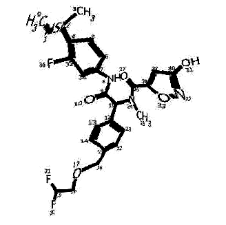 CC[SiH](C)c1ccc(NC(=O)C(c2ccc(COCC(F)F)cc2)N(C)C(=O)c2cc(O)no2)cc1F